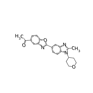 CC(=O)c1ccc2oc(-c3ccc4c(c3)nc(C)n4C3CCOCC3)nc2c1